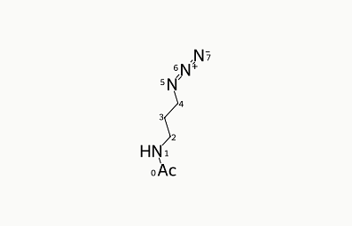 CC(=O)NCCCN=[N+]=[N-]